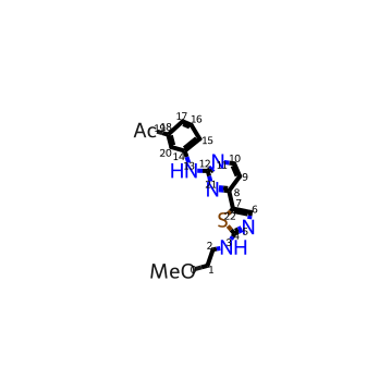 COCCNc1ncc(-c2ccnc(Nc3cccc(C(C)=O)c3)n2)s1